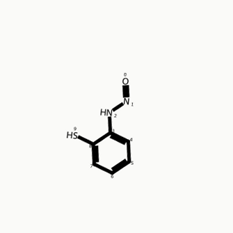 O=NNc1ccccc1S